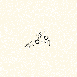 C=C1C(Nc2ccc(C(=O)N(CC)CCOC)cn2)=CC(c2cccc(N3C=Nc4cc(C)ccc4C3=C)c2C)=NN1C